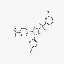 CS(=O)(=O)c1ccc(-c2sc(S(=O)(=O)c3cccc(Cl)c3)nc2-c2ccc(F)cc2)cc1